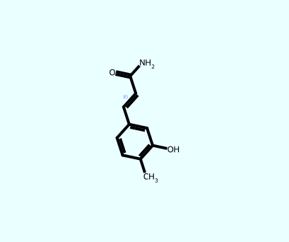 Cc1ccc(/C=C/C(N)=O)cc1O